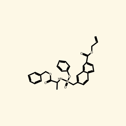 C=CCOC(=O)c1ccc2ccc(CP(=O)(NC(C)C(=O)OCc3ccccc3)Oc3ccccc3)cc2c1